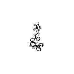 O=C(CCn1cccc1)Oc1cccc([N+](=O)[O-])c1